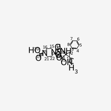 C[C@@H]1[C@@H](c2ccccc2)[C@]1(NS(=O)(=O)N1CCN(C(=O)O)CC1)C(=O)O